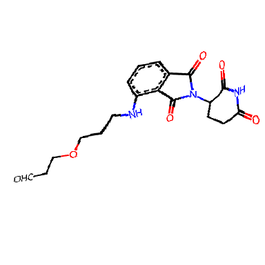 O=CCCOCCCNc1cccc2c1C(=O)N(C1CCC(=O)NC1=O)C2=O